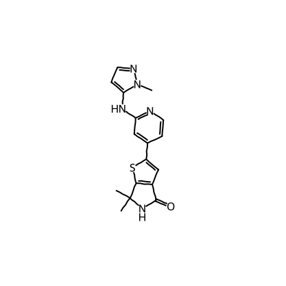 Cn1nccc1Nc1cc(-c2cc3c(s2)C(C)(C)NC3=O)ccn1